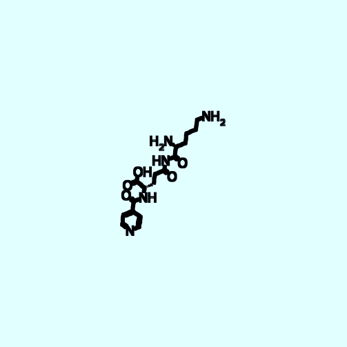 NCCCC[C@H](N)C(=O)NC(=O)CC[C@H](NC(=O)c1ccncc1)C(=O)O